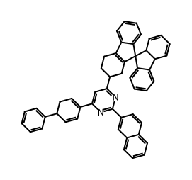 C1=CC2c3ccccc3C3(C4=C(CCC(c5cc(C6=CCC(c7ccccc7)C=C6)nc(-c6ccc7ccccc7c6)n5)C4)c4ccccc43)C2C=C1